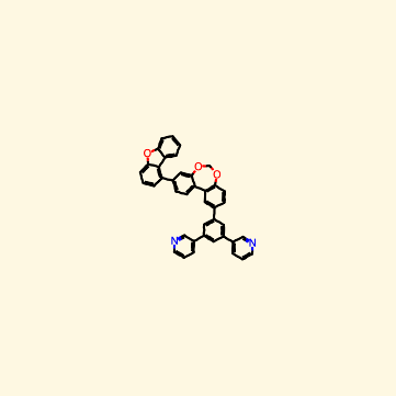 c1cncc(-c2cc(-c3cccnc3)cc(-c3ccc4c(c3)-c3ccc(-c5cccc6oc7ccccc7c56)cc3OCO4)c2)c1